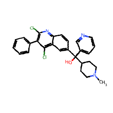 CN1CCC(C(O)(c2cccnc2)c2ccc3nc(Cl)c(-c4ccccc4)c(Cl)c3c2)CC1